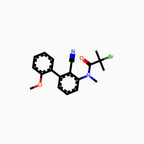 COc1ccccc1-c1cccc(N(C)C(=O)C(C)(C)Br)c1C#N